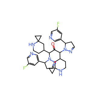 O=C(C(C1CCNC2(CC2)C1)N1N=CCC1c1cncc(F)c1)C(C1CCNC2(CC2)C1)N1N=CCC1c1cncc(F)c1